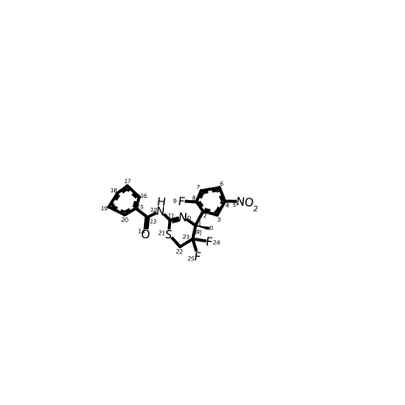 C[C@]1(c2cc([N+](=O)[O-])ccc2F)N=C(NC(=O)c2ccccc2)SCC1(F)F